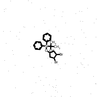 CC(C)(C)[Si](OC1CC(Br)C(Br)C1)(c1ccccc1)c1ccccc1